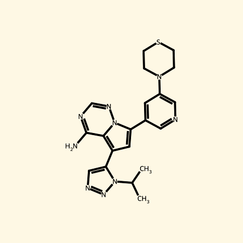 CC(C)n1nncc1-c1cc(-c2cncc(N3CCSCC3)c2)n2ncnc(N)c12